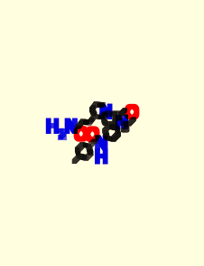 Cc1ccc(C(=O)Nc2ccc(N3CCOCC3)c(C(F)(F)F)c2)cc1.NC(=O)C=Cc1cccnc1